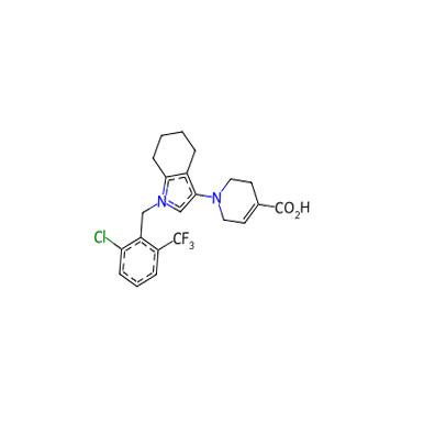 O=C(O)C1=CCN(c2cn(Cc3c(Cl)cccc3C(F)(F)F)c3c2CCCC3)CC1